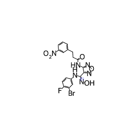 O=C(CCc1cccc([N+](=O)[O-])c1)Nc1nonc1/C(=N\O)Nc1ccc(F)c(Br)c1